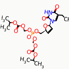 CCc1cn([C@H]2C=C[C@@H](COP(=O)(OCOC(=O)OC(C)C)OCOC(=O)OC(C)C)O2)c(=O)[nH]c1=O